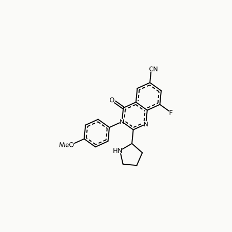 COc1ccc(-n2c(C3CCCN3)nc3c(F)cc(C#N)cc3c2=O)cc1